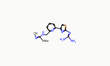 CN/C(=N/C#N)NCc1cccc(-c2csc(N=C(N)N)n2)n1